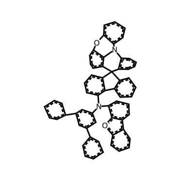 c1ccc(-c2cc(-c3ccccc3)cc(N(c3cccc4c3-c3ccccc3C43c4ccccc4N4c5ccccc5Oc5cccc3c54)c3cccc4c3oc3ccccc34)c2)cc1